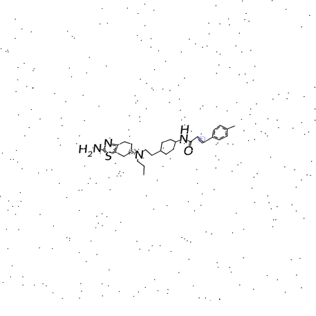 CCCN(CCC1CCC(NC(=O)/C=C/c2ccc(C)cc2)CC1)[C@H]1CCc2nc(N)sc2C1